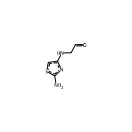 Nc1nc(NC[C]=O)cs1